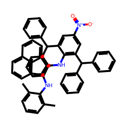 Cc1cccc(C)c1NC1=C(Nc2c(C(c3ccccc3)c3ccccc3)cc([N+](=O)[O-])cc2C(c2ccccc2)c2ccccc2)c2cccc3cccc1c23